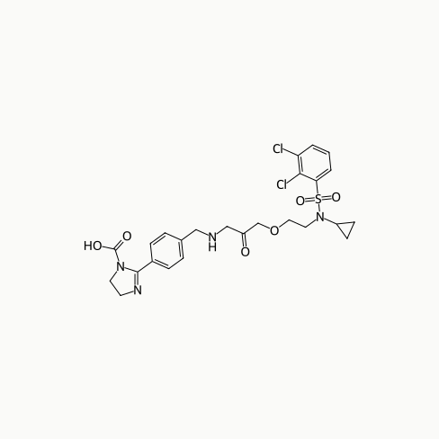 O=C(CNCc1ccc(C2=NCCN2C(=O)O)cc1)COCCN(C1CC1)S(=O)(=O)c1cccc(Cl)c1Cl